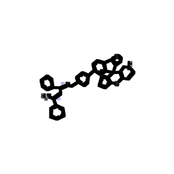 N/C(=C\C(=N/Cc1ccc(-c2ccc3c(c2)C2(C4=C(C=CNC4)Oc4cc[nH]c42)c2ccccc2-3)cc1)c1ccccc1)c1ccccc1